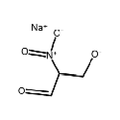 O=CC(C[O-])[N+](=O)[O-].[Na+]